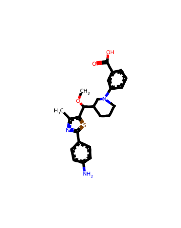 COC(c1sc(-c2ccc(N)cc2)nc1C)C1CCCN(c2cccc(C(=O)O)c2)C1